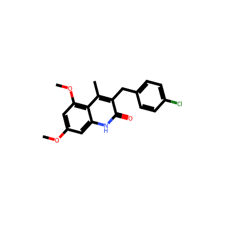 COc1cc(OC)c2c(C)c(Cc3ccc(Cl)cc3)c(=O)[nH]c2c1